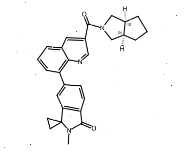 CN1C(=O)c2ccc(-c3cccc4cc(C(=O)N5C[C@H]6CCC[C@H]6C5)cnc34)cc2C12CC2